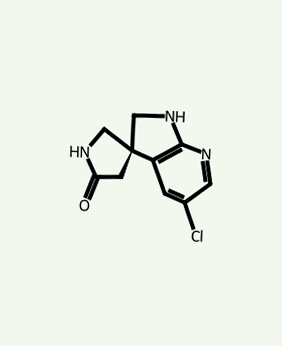 O=C1C[C@@]2(CN1)CNc1ncc(Cl)cc12